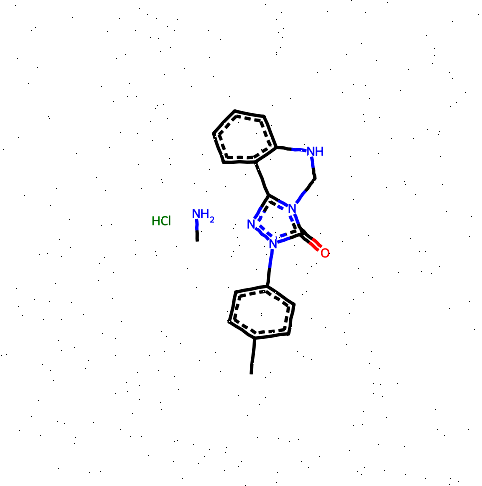 CN.Cc1ccc(-n2nc3n(c2=O)CNc2ccccc2-3)cc1.Cl